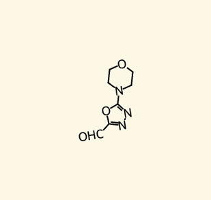 O=Cc1nnc(N2CCOCC2)o1